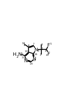 CC(C)(C(F)F)n1cc(I)c2c(N)ncnc21